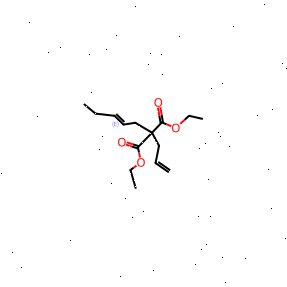 C=CCC(C/C=C/CC)(C(=O)OCC)C(=O)OCC